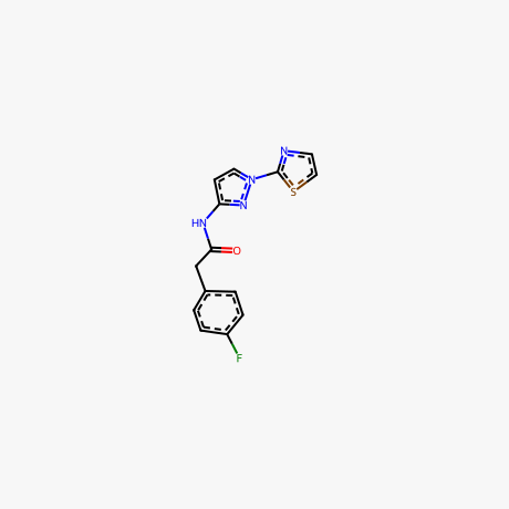 O=C(Cc1ccc(F)cc1)Nc1ccn(-c2nccs2)n1